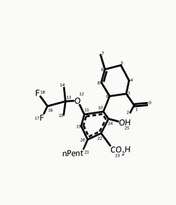 C=C(C)C1CCC(C)=CC1c1c(OC(C)(C)C(F)F)cc(CCCCC)c(C(=O)O)c1O